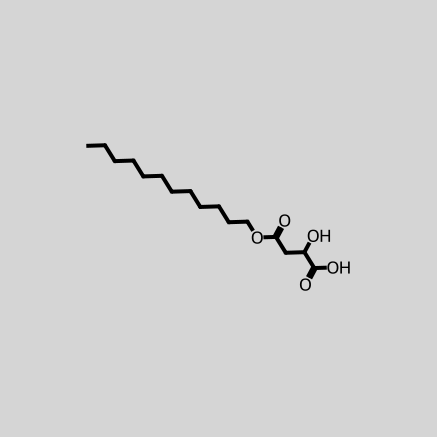 CCCCCCCCCCCCOC(=O)CC(O)C(=O)O